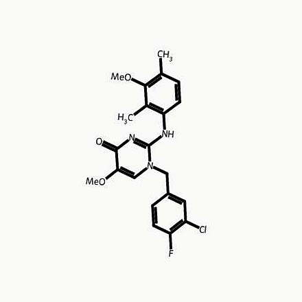 COc1c(C)ccc(Nc2nc(=O)c(OC)cn2Cc2ccc(F)c(Cl)c2)c1C